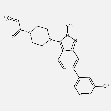 C=CC(=O)N1CCN(c2c3ccc(-c4cccc(O)c4)cc3nn2C)CC1